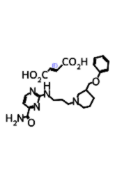 NC(=O)c1ccnc(NCCCN2CCCC(COc3ccccc3)C2)n1.O=C(O)/C=C/C(=O)O